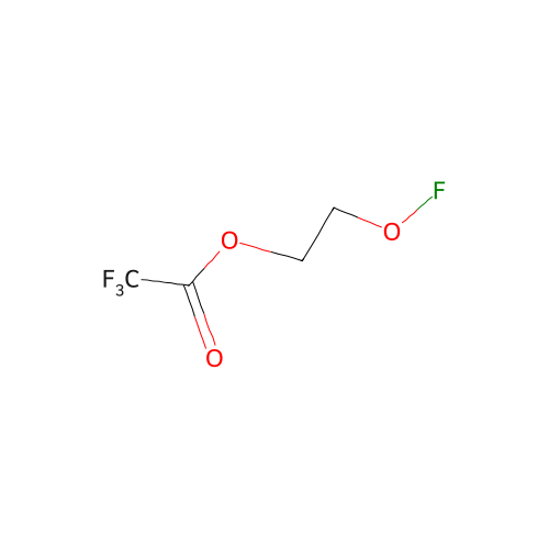 O=C(OCCOF)C(F)(F)F